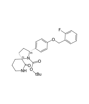 CC(C)(C)OC(=O)N1[C@@H](c2ccc(OCc3ccccc3F)cc2)CC[C@]12CCCNC2=O